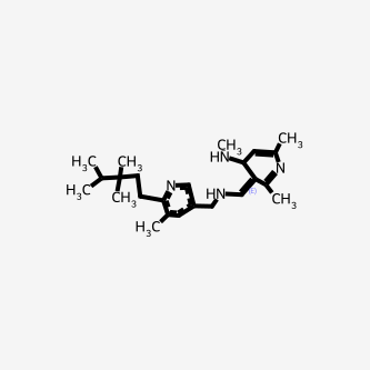 CNC1C=C(C)N=C(C)/C1=C/NCc1cnc(CCC(C)(C)C(C)C)c(C)c1